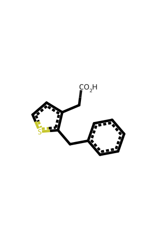 O=C(O)Cc1ccsc1Cc1ccccc1